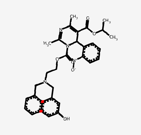 CC1=NC(C)=C(C(=O)OC(C)C)C(c2ccccc2[N+](=O)[O-])N1C(=O)OCCN(Cc1ccccc1)Cc1cccc(O)c1